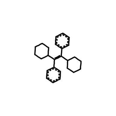 c1ccc(/C(=C(/c2ccccc2)C2CCCCC2)C2CCCCC2)cc1